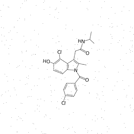 Cc1c(CC(=O)NC(C)C)c2c(Cl)c(O)ccc2n1C(=O)c1ccc(Cl)cc1